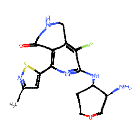 Cc1cc(-c2nc(N[C@@H]3CCOC[C@@H]3N)c(F)c3c2C(=O)NC3)sn1